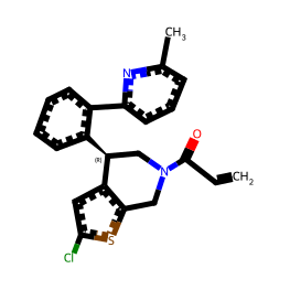 C=CC(=O)N1Cc2sc(Cl)cc2[C@@H](c2ccccc2-c2cccc(C)n2)C1